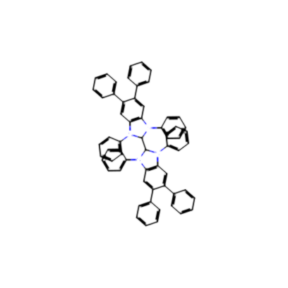 c1ccc(-c2cc3c(cc2-c2ccccc2)N(c2ccccc2)C(C2N(c4ccccc4)c4cc(-c5ccccc5)c(-c5ccccc5)cc4N2c2ccccc2)N3c2ccccc2)cc1